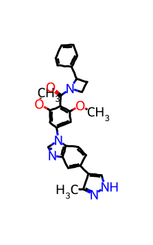 COc1cc(-n2cnc3cc(-c4c[nH]nc4C)ccc32)cc(OC)c1C(=O)N1CCC1c1ccccc1